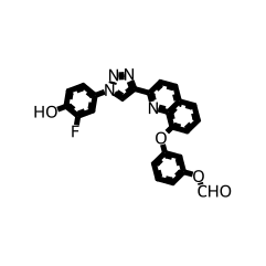 O=COc1cccc(Oc2cccc3ccc(-c4cn(-c5ccc(O)c(F)c5)nn4)nc23)c1